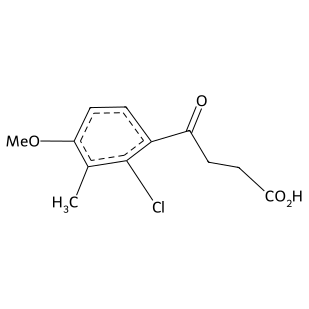 COc1ccc(C(=O)CCC(=O)O)c(Cl)c1C